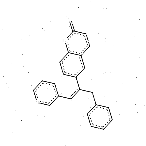 O=c1ccc2cc(/C(=C\c3cccnc3)Cc3ccccc3)ccc2[nH]1